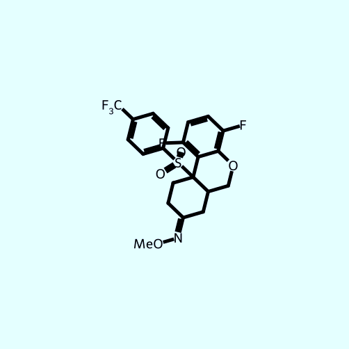 CON=C1CCC2(S(=O)(=O)c3ccc(C(F)(F)F)cc3)c3c(F)ccc(F)c3OCC2C1